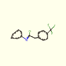 FC(F)(F)c1ccc(CC(Cl)=Nc2ccccc2)cc1